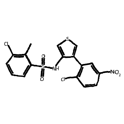 Cc1c(Cl)cccc1S(=O)(=O)Nc1cscc1-c1cc([N+](=O)[O-])ccc1Cl